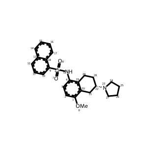 COc1ccc(NS(=O)(=O)c2cccc3ccccc23)c2c1C[C@@H](N1CCCC1)CC2